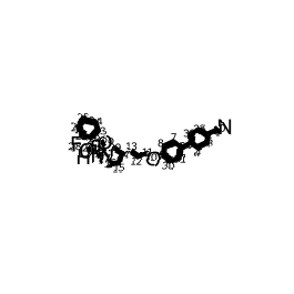 N#Cc1ccc(-c2ccc(OCCC[C@@H]3CCN(NS(=O)(=O)c4ccccc4F)C3)cc2)cc1